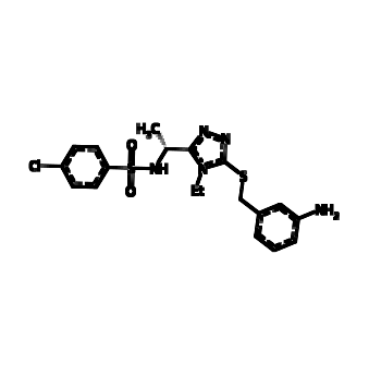 CCn1c(SCc2cccc(N)c2)nnc1[C@@H](C)NS(=O)(=O)c1ccc(Cl)cc1